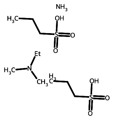 CCCS(=O)(=O)O.CCCS(=O)(=O)O.CCN(C)C.N